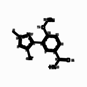 Cn1cc(Br)c(-c2cc(C([NH])=O)ccc2OC(C)(C)C)n1